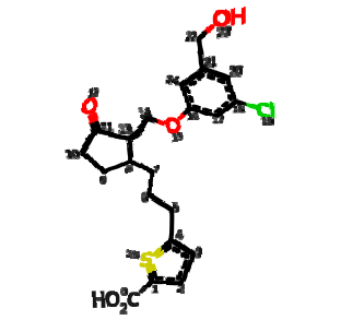 O=C(O)c1ccc(CCCC2CCC(=O)C2COc2cc(Cl)cc(CO)c2)s1